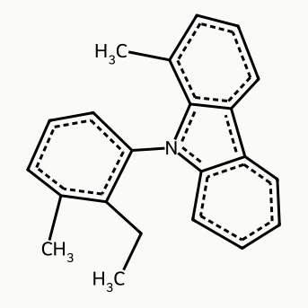 CCc1c(C)cccc1-n1c2ccccc2c2cccc(C)c21